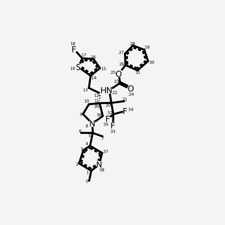 Cc1ccc(C(C)(C)N2CC[C@@](CCc3ccc(F)s3)(C(C)(NC(=O)Oc3ccccc3)C(F)(F)F)C2)cn1